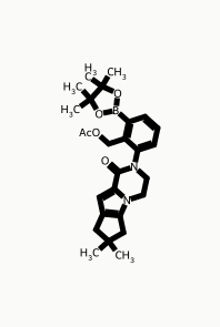 CC(=O)OCc1c(B2OC(C)(C)C(C)(C)O2)cccc1N1CCn2c(cc3c2CC(C)(C)C3)C1=O